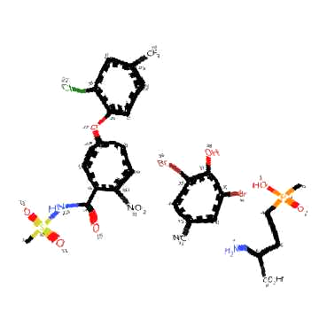 CP(=O)(O)CCC(N)C(=O)O.CS(=O)(=O)NC(=O)c1cc(Oc2ccc(C(F)(F)F)cc2Cl)ccc1[N+](=O)[O-].N#Cc1cc(Br)c(O)c(Br)c1